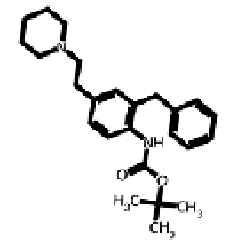 CC(C)(C)OC(=O)Nc1ccc(CCN2CCCCC2)cc1Cc1ccccc1